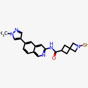 Cn1cc(-c2ccc3cnc(NC(=O)C4CC5(C4)CN(S)C5)cc3c2)cn1